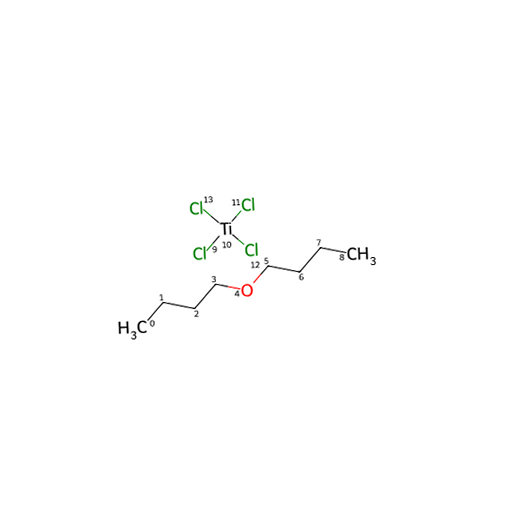 CCCCOCCCC.[Cl][Ti]([Cl])([Cl])[Cl]